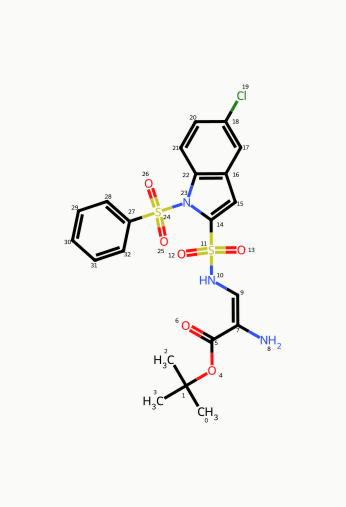 CC(C)(C)OC(=O)/C(N)=C\NS(=O)(=O)c1cc2cc(Cl)ccc2n1S(=O)(=O)c1ccccc1